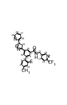 Cc1ccc(-c2cc(C(=O)NCc3ccc(C(F)(F)F)nc3)cc(C3=NOC(c4ccccn4)C3)c2)c(F)c1